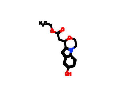 CCOC(=O)CC1OCCn2c1cc1cc(O)ccc12